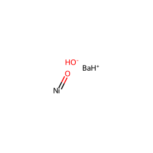 [BaH+].[OH-].[O]=[Ni]